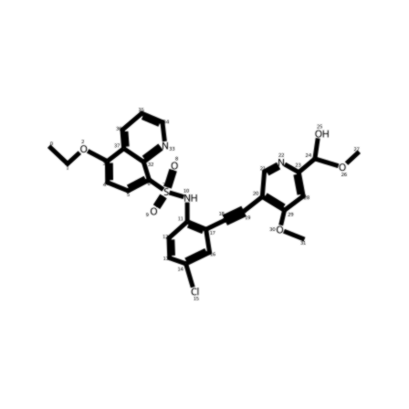 CCOc1ccc(S(=O)(=O)Nc2ccc(Cl)cc2C#Cc2cnc(C(O)OC)cc2OC)c2ncccc12